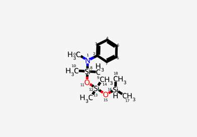 CN(c1ccccc1)[Si](C)(C)O[Si](C)(C)O[SiH](C)C